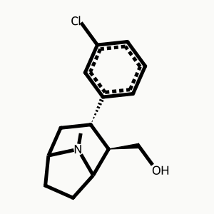 CN1C2CCC1[C@H](CO)[C@@H](c1cccc(Cl)c1)C2